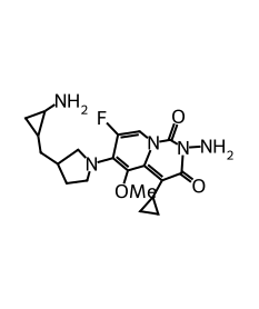 COc1c(N2CCC(CC3CC3N)C2)c(F)cn2c(=O)n(N)c(=O)c(C3CC3)c12